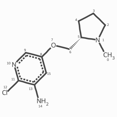 CN1CCC[C@H]1COc1cnc(Cl)c(N)c1